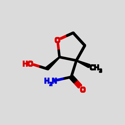 C[C@]1(C(N)=O)CCO[C@@H]1CO